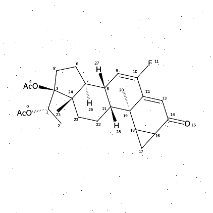 CC(=O)O[C@@H](C)[C@]1(OC(C)=O)CC[C@H]2[C@@H]3C=C(F)C4=CC(=O)C5CC5[C@@]4(C)[C@@H]3CC[C@@]21C